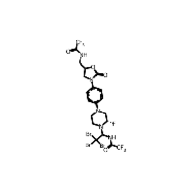 O=C1OC(CNC(=O)C(F)(F)F)CN1c1ccc(N2CCN(C(NC(=O)C(F)(F)F)C(Br)(Br)Br)[C@@H](F)C2)cc1